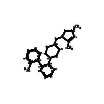 CC1=NN(C)CC1CN1CCN(c2nccnc2-c2ccccc2N)CC1